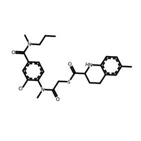 CCCN(C)C(=O)c1ccc(N(C)C(=O)CSC(=O)C2CCc3cc(C)ccc3N2)c(Cl)c1